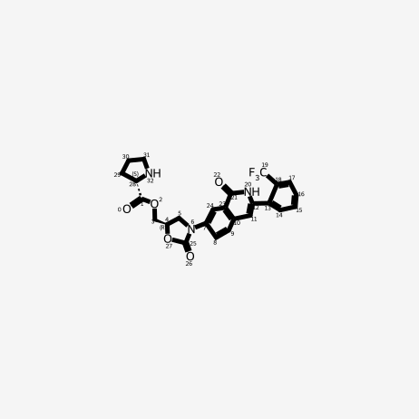 O=C(OC[C@H]1CN(c2ccc3cc(-c4ccccc4C(F)(F)F)[nH]c(=O)c3c2)C(=O)O1)[C@@H]1CCCN1